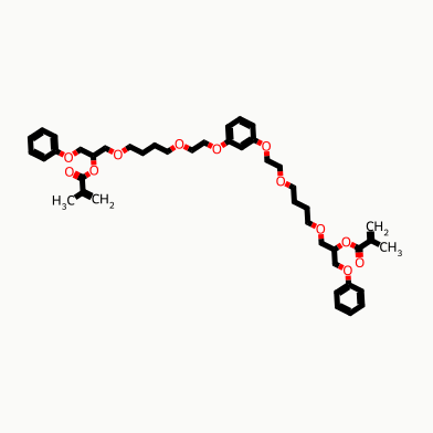 C=C(C)C(=O)OC(COCCCCOCCOc1cccc(OCCOCCCCOCC(COc2ccccc2)OC(=O)C(=C)C)c1)COc1ccccc1